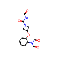 O=CNC(=O)N1CC(Oc2ccccc2N(C=O)C=O)C1